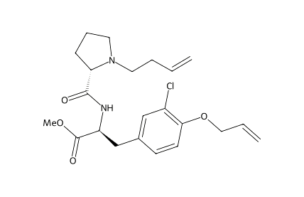 C=CCCN1CCC[C@H]1C(=O)N[C@@H](Cc1ccc(OCC=C)c(Cl)c1)C(=O)OC